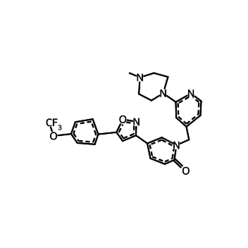 CN1CCN(c2cc(Cn3cc(-c4cc(-c5ccc(OC(F)(F)F)cc5)on4)ccc3=O)ccn2)CC1